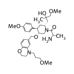 COCCCN1CCOc2ccc(CO[C@H]3CN(C(=O)C(C)N)[C@@H](CC(C)(O)COC)C[C@@H]3c3ccc(OC)cc3)cc21